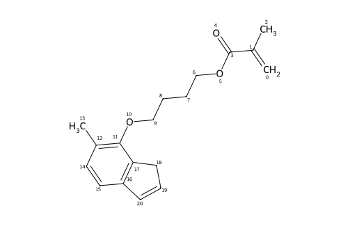 C=C(C)C(=O)OCCCCOc1c(C)ccc2c1CC=C2